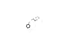 C=C(OCC)[C@@H](O)[C@@H](C)COCc1ccc(OC)cc1